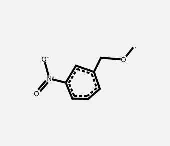 [CH2]OCc1cccc([N+](=O)[O-])c1